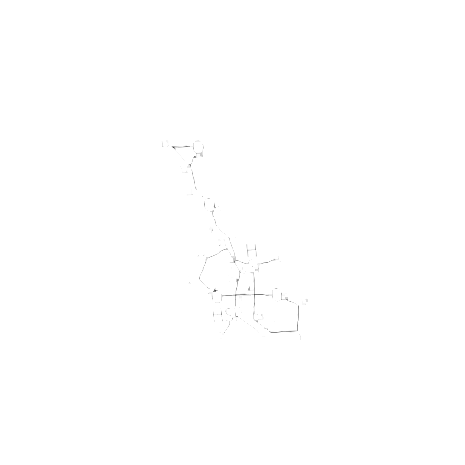 C[SiH](C)C1(C2([SiH](C)CCCOCC3CO3)CCCCO2)CCCCO1